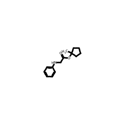 CC1(OC(=O)CNc2ccccc2)CCCC1